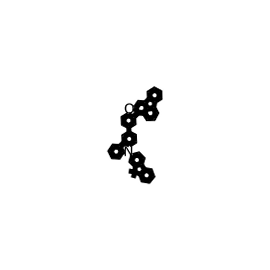 CC1(C)c2ccccc2-c2ccc(-n3c4ccccc4c4cc(-c5ccc6oc7cc8c9c(cccc9c7c6c5)-c5ccccc5-8)ccc43)cc21